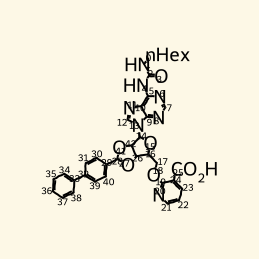 CCCCCCNC(=O)Nc1ncnc2c1ncn2C1OC(COc2ncccc2C(=O)O)C2OC(c3ccc(-c4ccccc4)cc3)OC21